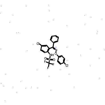 O=S(=O)(Nc1ccc(Cl)cc1/C(=N\Oc1ccc(Cl)cc1)c1ccccc1)C(F)(F)F